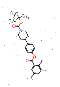 CC(C)(C)OC(=O)N1CCC(c2ccc(OC(=O)c3cc(I)cc(I)c3I)cc2)CC1